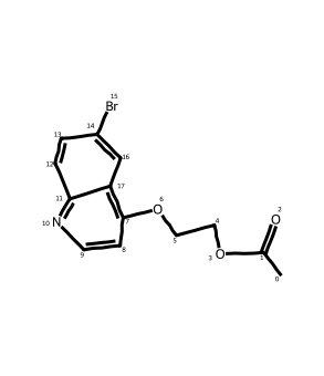 CC(=O)OCCOc1ccnc2ccc(Br)cc12